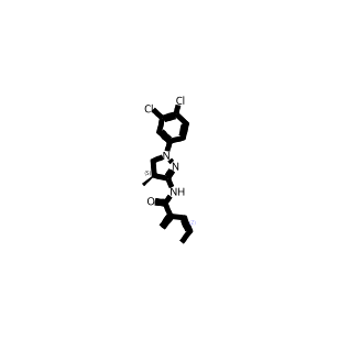 C=C(/C=C\C)C(=O)NC1=NN(c2ccc(Cl)c(Cl)c2)C[C@@H]1C